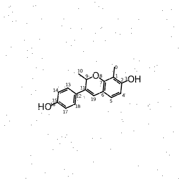 Cc1c(O)ccc2c1OC(C)C(c1ccc(O)cc1)=C2